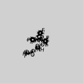 O=C(NCC(F)(F)F)OC[C@@H]1CO[C@H](COc2c(F)cc(F)cc2NC(=O)[C@H](Cc2ccc(F)cc2)Nc2ccc(F)cc2)CN1